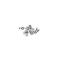 O=C1c2c(nc(CCc3ccc(F)cc3)c(-c3n[nH]c(=O)o3)c2-c2cc3ccnc(N[C@@H]4CCc5cc(F)c(F)cc54)c3s2)C23CC(CN12)C3